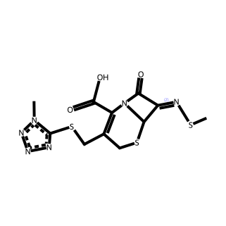 CS/N=C1/C(=O)N2C(C(=O)O)=C(CSc3nnnn3C)CSC12